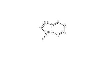 CC1=C2C=CCC=C2N=C1